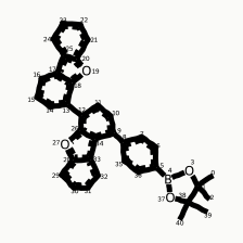 CC1(C)OB(c2ccc(-c3ccc(-c4cccc5c4oc4ccccc45)c4oc5ccccc5c34)cc2)OC1(C)C